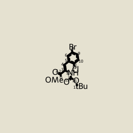 COC(=O)/C(=C/c1cc(Br)ccc1Cl)NC(=O)OC(C)(C)C